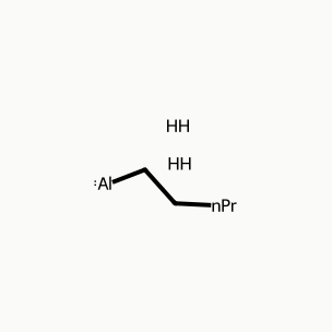 CCCC[CH2][Al].[HH].[HH]